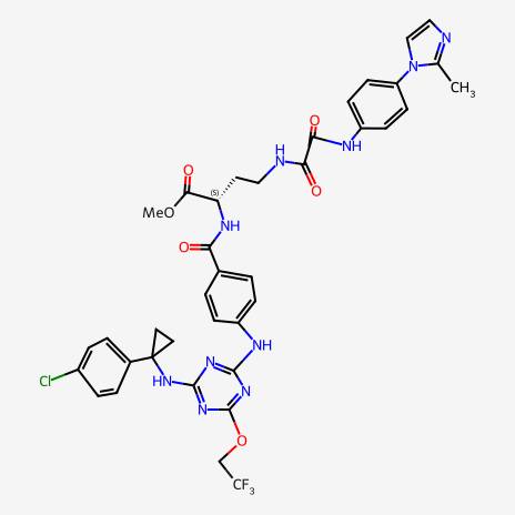 COC(=O)[C@H](CCNC(=O)C(=O)Nc1ccc(-n2ccnc2C)cc1)NC(=O)c1ccc(Nc2nc(NC3(c4ccc(Cl)cc4)CC3)nc(OCC(F)(F)F)n2)cc1